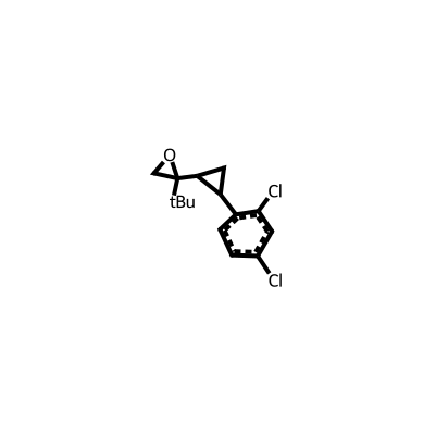 CC(C)(C)C1(C2CC2c2ccc(Cl)cc2Cl)CO1